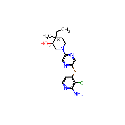 CC[C@]1(C)CCN(c2cnc(Sc3ccnc(N)c3Cl)cn2)C[C@H]1O